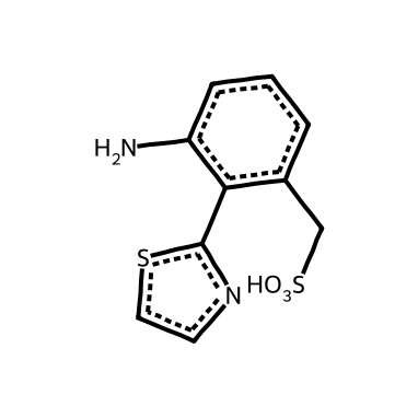 Nc1cccc(CS(=O)(=O)O)c1-c1nccs1